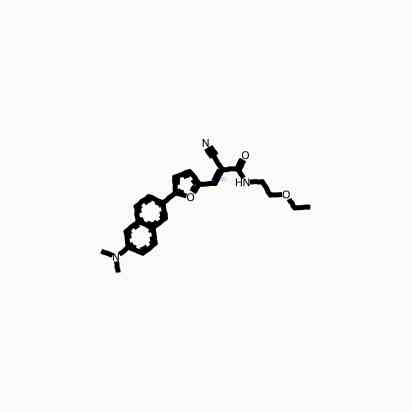 CCOCCNC(=O)/C(C#N)=C/c1ccc(-c2ccc3cc(N(C)C)ccc3c2)o1